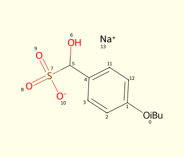 CC(C)COc1ccc(C(O)S(=O)(=O)[O-])cc1.[Na+]